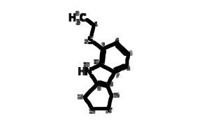 CCSc1cccc2c3c([nH]c12)CC[CH]C3